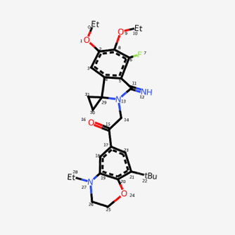 CCOc1cc2c(c(F)c1OCC)C(=N)N(CC(=O)c1cc3c(c(C(C)(C)C)c1)OCCN3CC)C21CC1